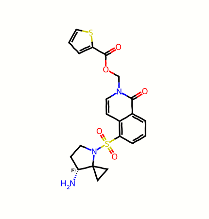 N[C@@H]1CCN(S(=O)(=O)c2cccc3c(=O)n(COC(=O)c4cccs4)ccc23)C12CC2